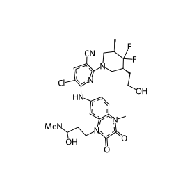 CNC(O)CCn1c(=O)c(=O)n(C)c2ccc(Nc3nc(N4C[C@H](CCO)C(F)(F)[C@H](C)C4)c(C#N)cc3Cl)cc21